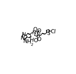 Nc1ncnc2cc(CN3CC(C(=O)O)N(CC=Cc4ccc(Cl)s4)C(=O)C3=O)ccc12